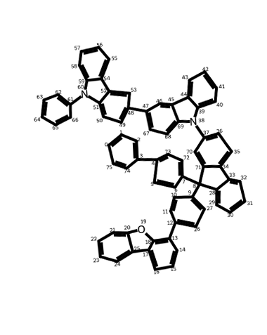 c1ccc(-c2ccc(C3(c4ccc(-c5cccc6c5oc5ccccc56)cc4)c4ccccc4-c4ccc(-n5c6ccccc6c6cc(-c7ccc8c(c7)c7ccccc7n8-c7ccccc7)ccc65)cc43)cc2)cc1